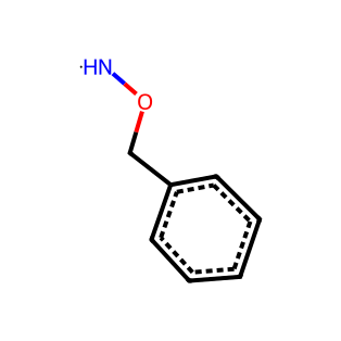 [NH]OCc1ccccc1